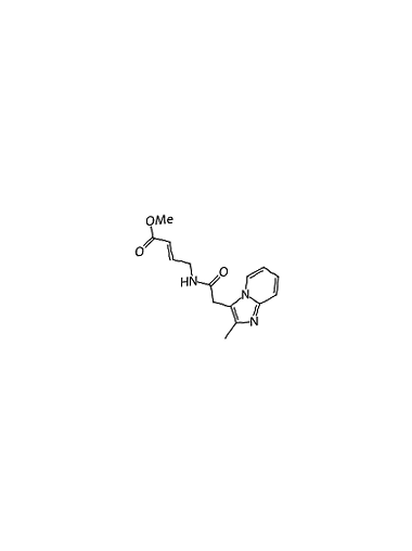 COC(=O)/C=C/CNC(=O)Cc1c(C)nc2ccccn12